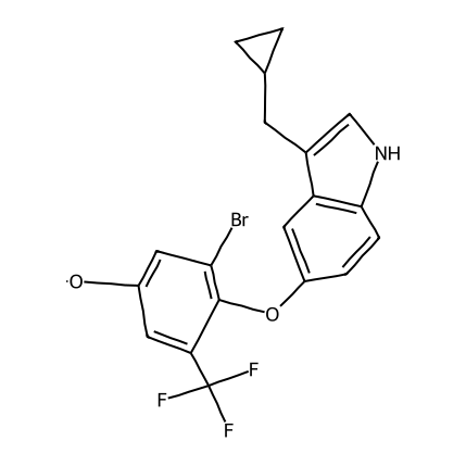 [O]c1cc(Br)c(Oc2ccc3[nH]cc(CC4CC4)c3c2)c(C(F)(F)F)c1